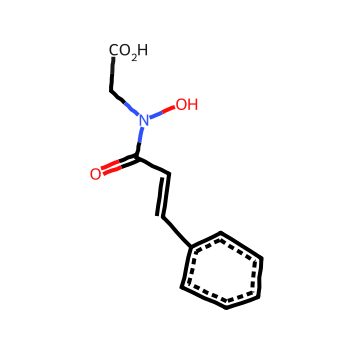 O=C(O)CN(O)C(=O)C=Cc1ccccc1